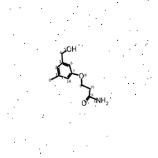 Cc1[c]c(CO)cc(OCCC(N)=O)c1